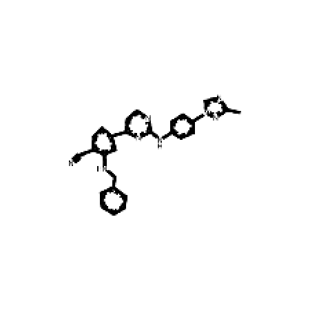 Cc1ncn(-c2ccc(Nc3nccc(-c4ccc(C#N)c(NCc5ccccc5)c4)n3)cc2)n1